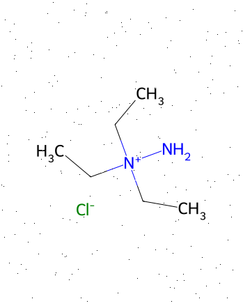 CC[N+](N)(CC)CC.[Cl-]